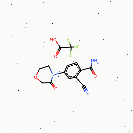 N#Cc1cc(N2CCOCC2=O)ccc1C(N)=O.O=C(O)C(F)(F)F